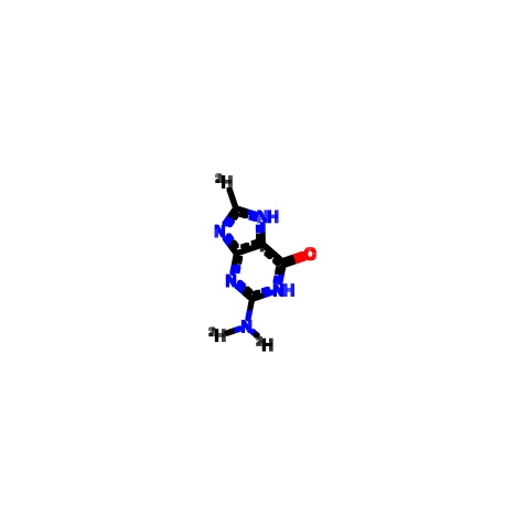 [2H]c1nc2nc(N([2H])[2H])[nH]c(=O)c2[nH]1